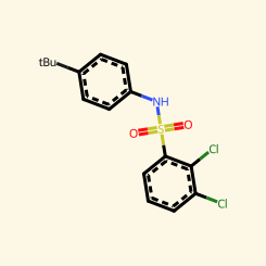 CC(C)(C)c1ccc(NS(=O)(=O)c2cccc(Cl)c2Cl)cc1